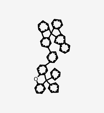 c1ccc(C2(c3ccccc3)c3ccccc3Oc3ccc(-c4cccc(-c5ccc6c(c5)C5(c7ccccc7-6)c6ccccc6-c6cc7ccccc7cc65)c4)cc32)cc1